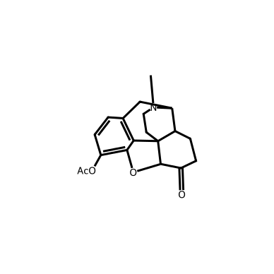 CC(=O)Oc1ccc2c3c1OC1C(=O)CCC4C(C2)N(C)CCC314